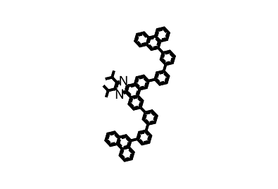 CC(C)c1nc2c3ccc(-c4cccc(-c5cccc(-c6cc7ccccc7c7ccccc67)c5)c4)cc3c3cc(-c4cccc(-c5cccc(-c6cc7ccccc7c7ccccc67)c5)c4)ccc3c2nc1C(C)C